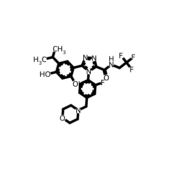 CC(C)c1cc(-c2nnc(C(=O)NCC(F)(F)F)n2-c2ccc(CN3CCOCC3)cc2F)c(O)cc1O